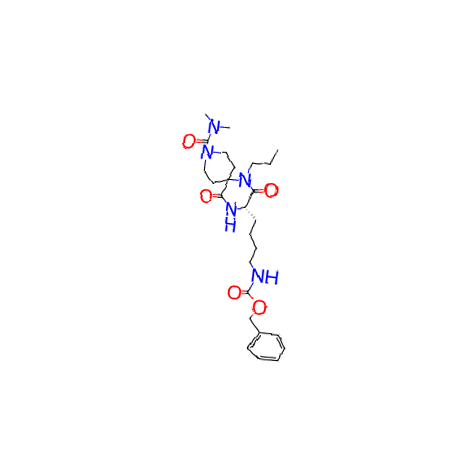 CCCN1C(=O)[C@H](CCCCNC(=O)OCc2ccccc2)NC(=O)C12CCN(C(=O)N(C)C)CC2